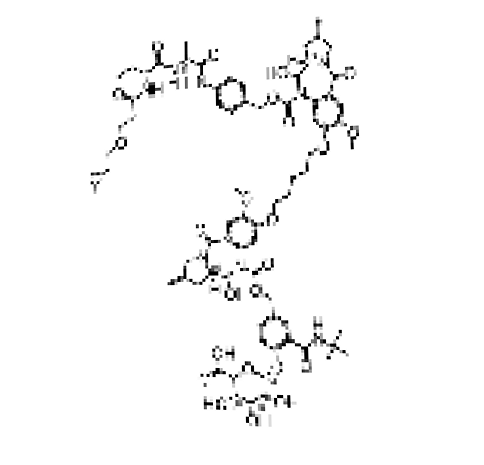 C=C1C[C@H]2C(O)N(C(=O)OCc3ccc(NC(=O)[C@H](C)NC(=O)C(NC(=O)CCOCCOC)C(C)C)cc3)c3cc(OCCCCCOc4cc5c(cc4OC)C(=O)N4CC(=C)C[C@H]4C(O)N5C(=O)OCc4ccc(O[C@@H]5O[C@H](C(=O)O)[C@@H](O)[C@H](O)[C@H]5O)c(C(=O)NC(C)(C)C)c4)c(OC)cc3C(=O)N2C1